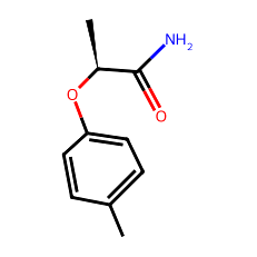 Cc1ccc(O[C@@H](C)C(N)=O)cc1